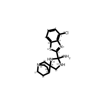 NC1(c2nc3c(Cl)cccc3s2)NCC2(CN3CCC2CC3)N1